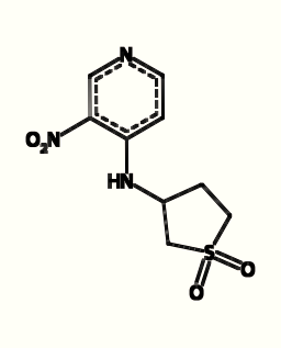 O=[N+]([O-])c1cnccc1NC1CCS(=O)(=O)C1